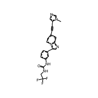 Cn1cncc1C#Cc1ccn2c(-c3cccc(NC(=O)NCC(F)(F)F)c3)cnc2c1